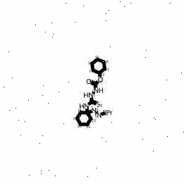 CC(C)N=NC1(NC(=S)NNC(=O)OC2CCCCC2)CCCCC1